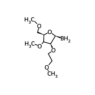 B[C@@H]1O[C@H](COC)C(OC)[C@@H]1OCCOC